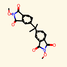 CON1C(=O)c2ccc(C(C)(C)c3ccc4c(c3)C(=O)N(OC)C4=O)cc2C1=O